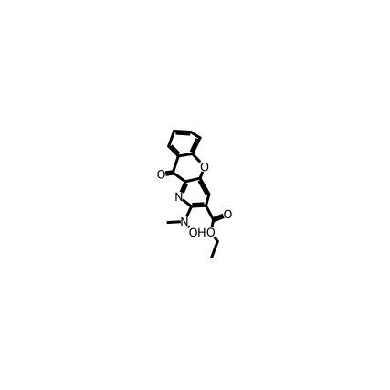 CCOC(=O)c1cc2oc3ccccc3c(=O)c2nc1N(C)O